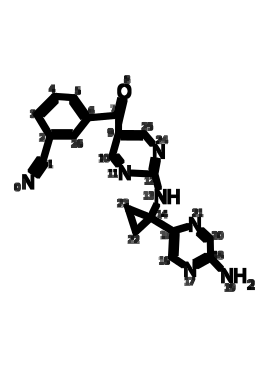 N#Cc1cccc(C(=O)c2cnc(NC3(c4cnc(N)cn4)CC3)nc2)c1